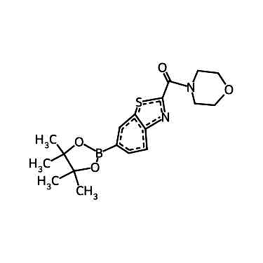 CC1(C)OB(c2ccc3nc(C(=O)N4CCOCC4)sc3c2)OC1(C)C